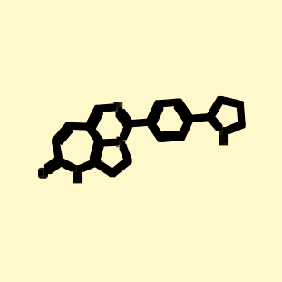 O=C1C=CC2=CN=C(c3ccc(C4CCCN4)cc3)N3CCC(=C23)N1